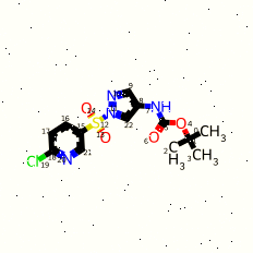 CC(C)(C)OC(=O)Nc1cnn(S(=O)(=O)c2ccc(Cl)nc2)c1